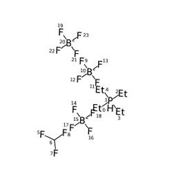 CC[PH](CC)(CC)CC.FC(F)F.F[B-](F)(F)F.F[B-](F)(F)F.F[B-](F)(F)F